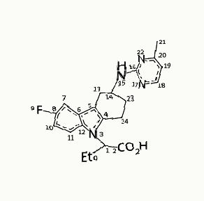 CCC(C(=O)O)n1c2c(c3cc(F)ccc31)CC(Nc1nccc(C)n1)CC2